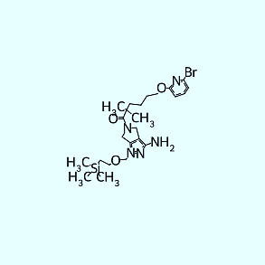 CC(C)(CCCCOc1cccc(Br)n1)C(=O)N1Cc2c(N)nn(COCC[Si](C)(C)C)c2C1